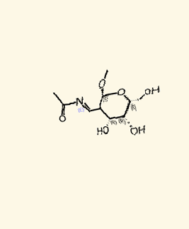 CO[C@H]1O[C@H](CO)[C@H](O)[C@H](O)C1/C=N/C(C)=O